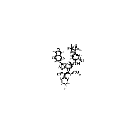 CCc1c(N2CCNCC2)c(=O)n2nc(-c3ccc4c(c3)COC4)nc2n1CC(=O)Nc1ccc(C2(C(F)(F)F)CC2)cc1Cl